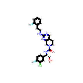 O=C(N[C@H](CO)c1ccc(F)c(Cl)c1)N1CCc2cnc(NCCc3ccccc3F)nc2C1